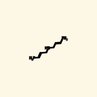 PC=CCNCC=CP